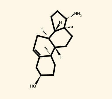 C[C@]12CC[C@H]3[C@@H](CC=C4C[C@H](O)CC[C@@]43C)[C@@H]1CC[C@@H]2N